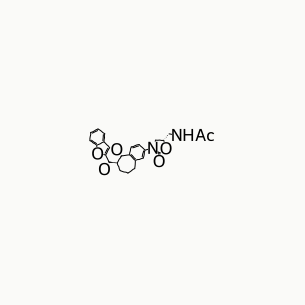 CC(=O)NC[C@H]1CN(c2ccc3c(c2)CCC[C@@H](C(=O)c2cc4ccccc4o2)C3=O)C(=O)O1